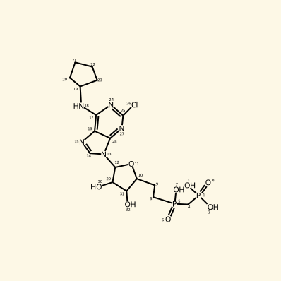 O=P(O)(O)CP(=O)(O)CCC1OC(n2cnc3c(NC4CCCC4)nc(Cl)nc32)C(O)C1O